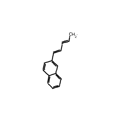 [CH2]C=CC=Cc1ccc2ccccc2c1